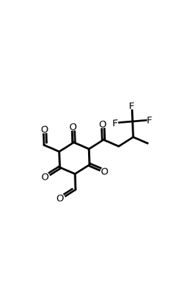 CC(CC(=O)C1C(=O)C(C=O)C(=O)C(C=O)C1=O)C(F)(F)F